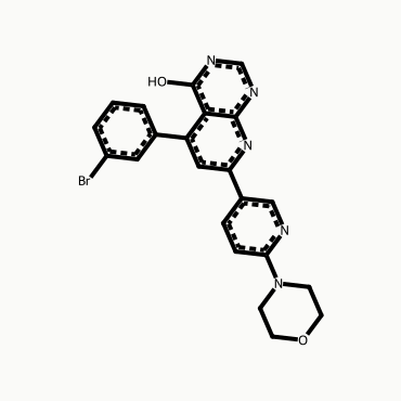 Oc1ncnc2nc(-c3ccc(N4CCOCC4)nc3)cc(-c3cccc(Br)c3)c12